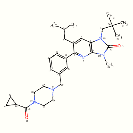 CC(C)Cc1cc2c(nc1-c1cccc(CN3CCN(C(=O)C4CC4)CC3)c1)n(C)c(=O)n2CC(C)(C)C